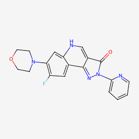 O=c1c2c[nH]c3cc(N4CCOCC4)c(F)cc3c-2nn1-c1ccccn1